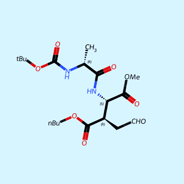 CCCCOC(=O)[C@H](CC=O)[C@H](NC(=O)[C@@H](C)NC(=O)OC(C)(C)C)C(=O)OC